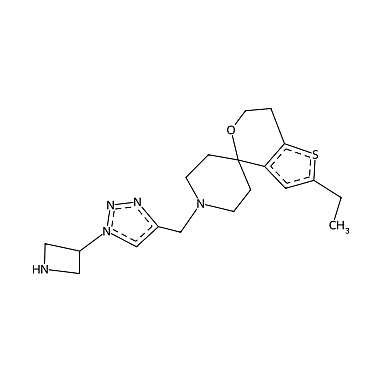 CCc1cc2c(s1)CCOC21CCN(Cc2cn(C3CNC3)nn2)CC1